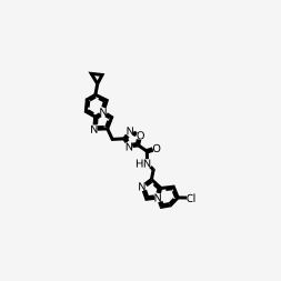 O=C(NCc1ncn2ccc(Cl)cc12)c1nc(Cc2cn3cc(C4CC4)ccc3n2)no1